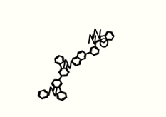 c1ccc(-n2c3ccccc3c3cc(-c4ccc5c(c4)c4ccccc4n5-c4ccc5cc(-c6cccc(-c7ncnc8c7oc7ccccc78)c6)ccc5c4)ccc32)cc1